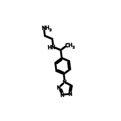 CC(NCCN)c1ccc(-n2cnnn2)cc1